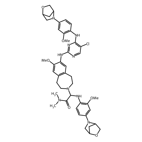 COc1cc2c(cc1Nc1ncc(Cl)c(Nc3ccc(N4CC5CC4CO5)cc3OC)n1)CCN(C(Nc1ccc(N3CC4CC3CO4)cc1OC)C(=O)N(C)C)CC2